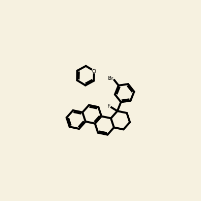 C1=CCOC=C1.FC1(c2cccc(Br)c2)CCCC2C=Cc3c(ccc4ccccc34)C21